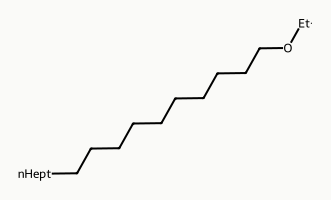 C[CH]OCCCCCCCCCCCCCCCCC